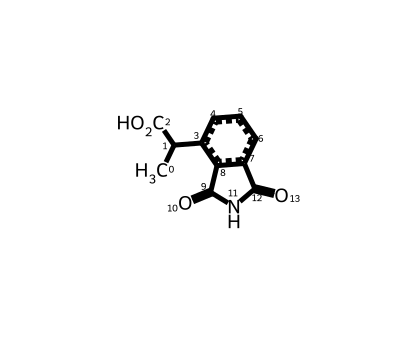 CC(C(=O)O)c1cccc2c1C(=O)NC2=O